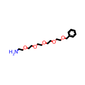 NCCOCCOCCOCCOCCOCc1ccccc1